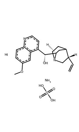 C=C[C@@H]1CN2CCC1C[C@@H]2[C@H](O)c1ccnc2ccc(OC)cc12.I.N.O=S(=O)(O)O